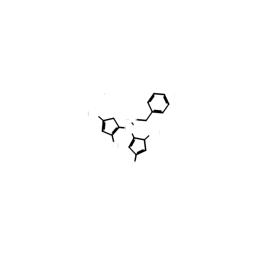 CC1=CC(C)[C](/[Hf+2](=[SiH]\Cc2ccccc2)[C]2=C(C)C=C(C)C2)=C1.[Cl-].[Cl-]